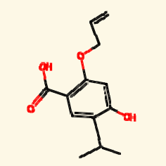 C=CCOc1cc(O)c(C(C)C)cc1C(=O)O